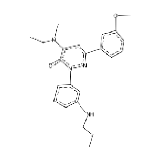 CCCNc1cccc(-n2nc(-c3cccc(OC)c3)cc(N(C)CC)c2=O)c1